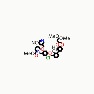 COC(=O)C1CCCCN1Cc1cc(Cl)c(OCc2cccc(-c3ccc4c(c3)OC(CC(OC)OC)CO4)c2C)cc1OCc1cncc(C#N)c1